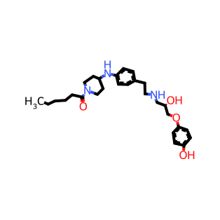 CCCCCC(=O)N1CCC(Nc2ccc(CCNC[C@H](O)COc3ccc(O)cc3)cc2)CC1